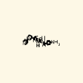 Nc1ccc(C(=O)NCC(=O)Nc2nc(C3CCCN(c4ccncc4)C3)cs2)cc1